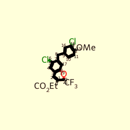 CCOC(=O)C1=Cc2cc(Cl)c(Cc3ccc(OC)c(Cl)c3)cc2OC1C(F)(F)F